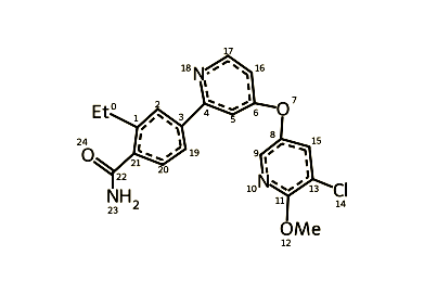 CCc1cc(-c2cc(Oc3cnc(OC)c(Cl)c3)ccn2)ccc1C(N)=O